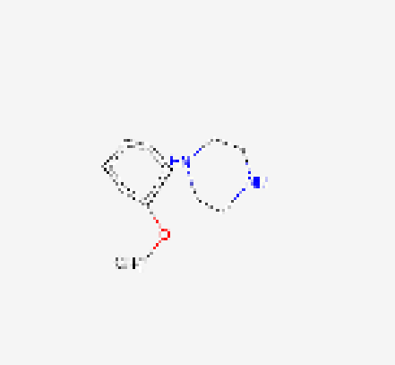 C1CNCCN1.O=COc1ccccc1